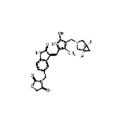 Cc1[nH]c(C=C2C(=O)Nc3ccc(CN4C(=O)COC4=O)cc32)c(C)c1CN1C[C@H]2C[C@H]2C1